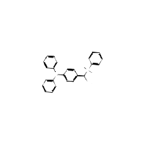 CC(c1ccc([SiH](c2ccccc2)c2ccccc2)cc1)[Si](C)(C)c1ccccc1